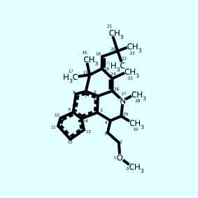 COCCC1c2c3c(cc4ccccc24)C(C)(C)/C(=C/C(C)(C)C)C(C)=C3N(C)C1C